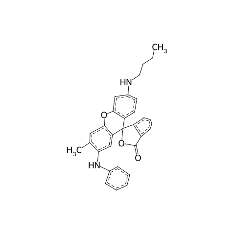 CCCCNc1ccc2c(c1)Oc1cc(C)c(Nc3ccccc3)cc1C21OC(=O)c2ccccc21